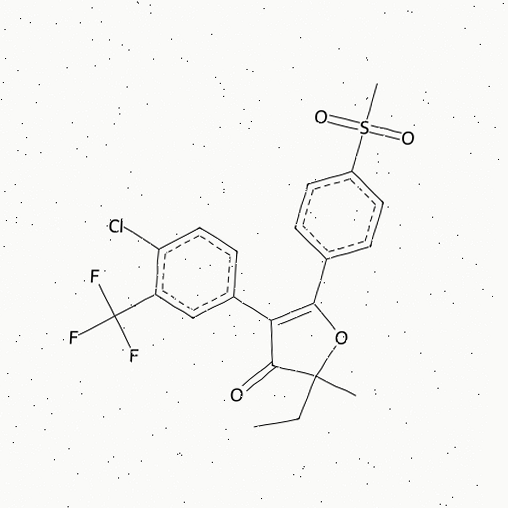 CCC1(C)OC(c2ccc(S(C)(=O)=O)cc2)=C(c2ccc(Cl)c(C(F)(F)F)c2)C1=O